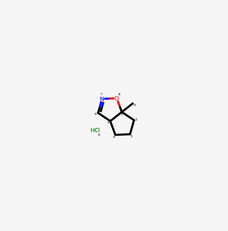 CC12CCCC1C=NO2.Cl